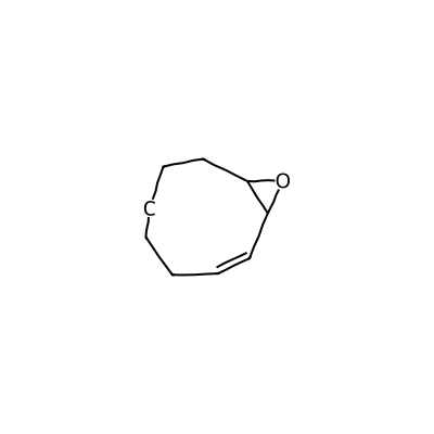 C1=CC2OC2CCCCC1